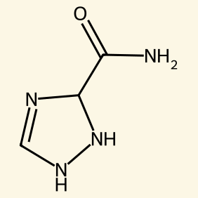 NC(=O)C1N=CNN1